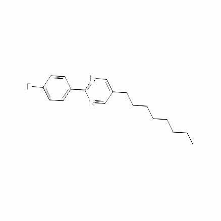 CCCCCCCCc1cnc(-c2ccc(F)cc2)nc1